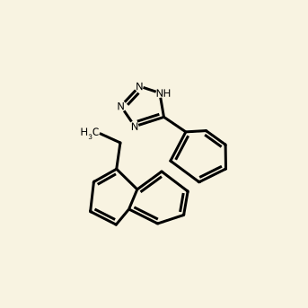 CCc1cccc2ccccc12.c1ccc(-c2nnn[nH]2)cc1